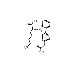 NCCCC[C@H](N)C(=O)O.O=C(O)Cc1ccc(-c2ccccc2)cc1